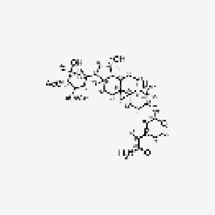 COC(C[C@@H](C)[C@H]1C[C@H](O)[C@@]2(C)C3CC[C@H]4C(C)(C)C(O[C@H]5CN(C(C)C(N)=O)CCO5)CCC45CC35CCC12C)[C@H](OC(C)=O)C(C)(C)O